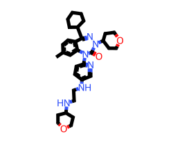 Cc1ccc2c(c1)N(c1ccc(NCCNC3CCOCC3)cn1)C(=O)N(C1CCOCC1)N=C2C1CCCCC1